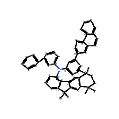 CC1(C)CCC(C)(C)c2cc3c(cc21)-c1c(N(c2cccc(-c4ccccc4)c2)c2cccc(-c4ccc5c(ccc6ccccc65)c4)c2)cccc1C3(C)C